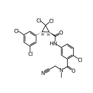 CN(CC#N)C(=O)c1cc(NC(=O)[C@H]2[C@H](c3cc(Cl)cc(Cl)c3)C2(Cl)Cl)ccc1Cl